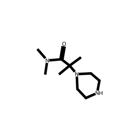 CN(C)C(=O)C(C)(C)N1CCNCC1